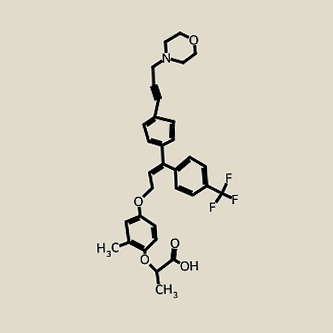 Cc1cc(OCC=C(c2ccc(C#CCN3CCOCC3)cc2)c2ccc(C(F)(F)F)cc2)ccc1OC(C)C(=O)O